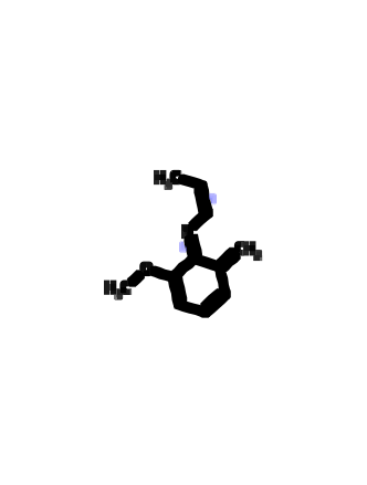 C=C1C=CC=C(OC)/C1=N/C=C\C